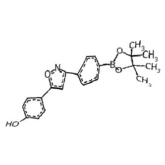 CC1(C)OB(c2ccc(-c3cc(-c4ccc(O)cc4)on3)cc2)OC1(C)C